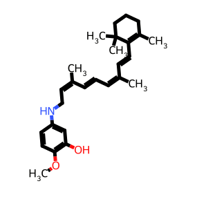 COc1ccc(NCC=C(C)C=CC=C(C)C=CC2=C(C)CCCC2(C)C)cc1O